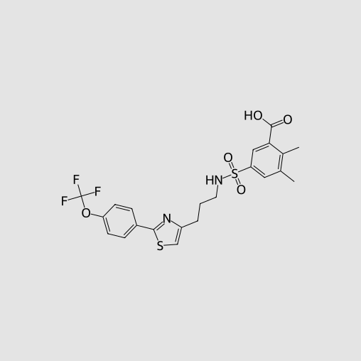 Cc1cc(S(=O)(=O)NCCCc2csc(-c3ccc(OC(F)(F)F)cc3)n2)cc(C(=O)O)c1C